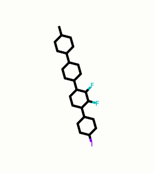 CC1CCC(C2CCC(C3CCC(C4CCC(I)CC4)C(F)C3F)CC2)CC1